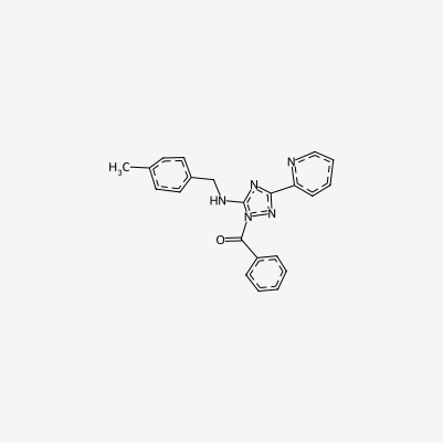 Cc1ccc(CNc2nc(-c3ccccn3)nn2C(=O)c2ccccc2)cc1